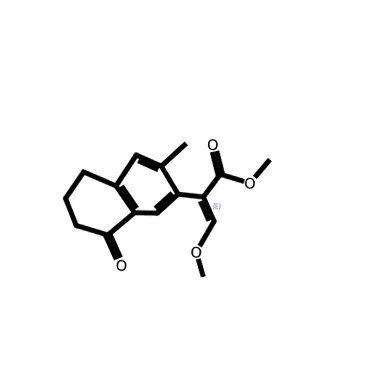 CO/C=C(/C(=O)OC)c1cc2c(cc1C)CCCC2=O